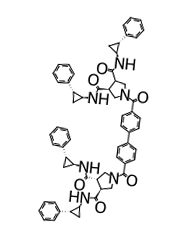 O=C(N[C@H]1C[C@@H]1c1ccccc1)C1CN(C(=O)c2ccc(-c3ccc(C(=O)N4C[C@@H](C(=O)NC5C[C@@H]5c5ccccc5)[C@H](C(=O)N[C@H]5C[C@@H]5c5ccccc5)C4)cc3)cc2)C[C@H]1C(=O)N[C@H]1C[C@@H]1c1ccccc1